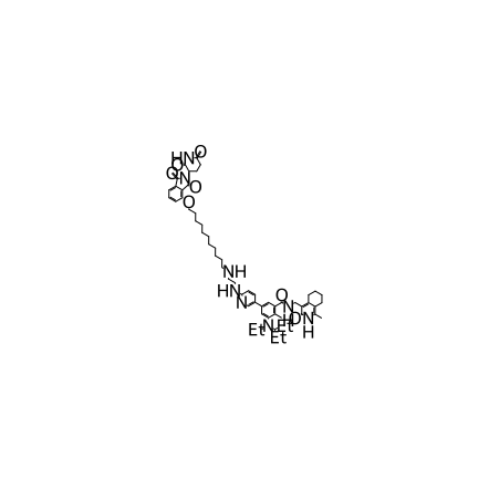 CCC(CC)N(CC)c1cc(-c2ccc(NCCNCCCCCCCCCCCOc3cccc4c3C(=O)N(C3CCC(=O)NC3=O)C4=O)nc2)cc(C(=O)NCc2c3c(c(C)[nH]c2=O)CCCC3)c1C